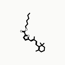 CCCCCCOC(=O)c1ccc(C=C(C)C=CC2=C(C)CCCC2(C)C)o1